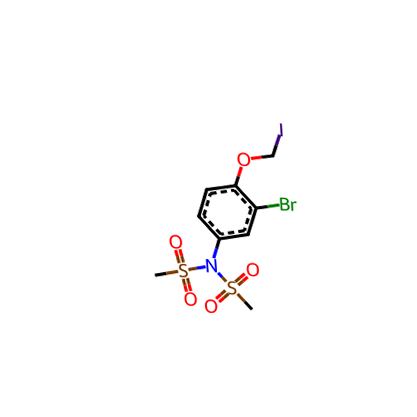 CS(=O)(=O)N(c1ccc(OCI)c(Br)c1)S(C)(=O)=O